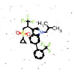 CC(C)Cn1cc(C(CS(=O)(=O)C2CC2)C(F)(F)F)c2ccc(-c3ccccc3C(F)(F)F)cc21